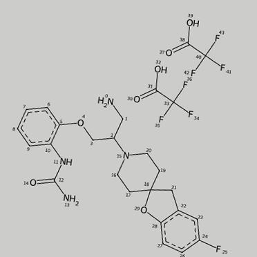 NCC(COc1ccccc1NC(N)=O)N1CCC2(CC1)Cc1cc(F)ccc1O2.O=C(O)C(F)(F)F.O=C(O)C(F)(F)F